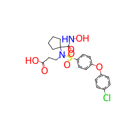 O=C(O)CCN(C1(C(=O)NO)CCCC1)S(=O)(=O)c1ccc(Oc2ccc(Cl)cc2)cc1